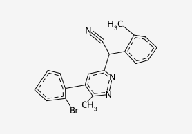 Cc1ccccc1C(C#N)c1cc(-c2ccccc2Br)c(C)nn1